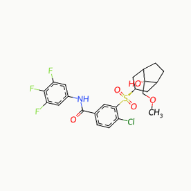 COC[C@]1(O)C2CCC1C[C@H](S(=O)(=O)c1cc(C(=O)Nc3cc(F)c(F)c(F)c3)ccc1Cl)C2